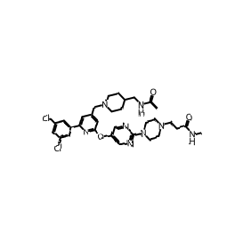 CNC(=O)CCN1CCN(c2ncc(Oc3cc(CN4CCC(CNC(C)=O)CC4)cc(-c4cc(Cl)cc(Cl)c4)n3)cn2)CC1